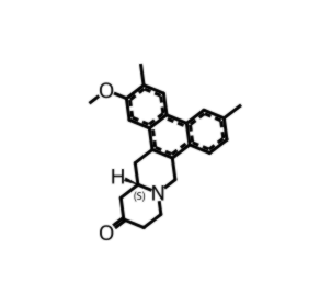 COc1cc2c3c(c4ccc(C)cc4c2cc1C)CN1CCC(=O)C[C@@H]1C3